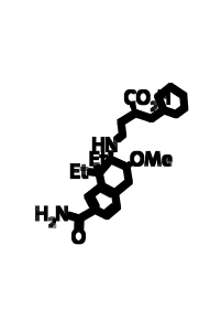 CCC1(CC)c2cc(C(N)=O)ccc2C[C@H](OC)[C@@H]1NCC[C@H](CC1CCCCC1)C(=O)O